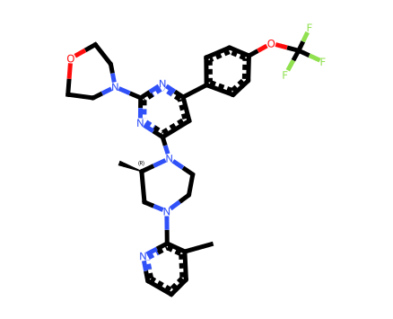 Cc1cccnc1N1CCN(c2cc(-c3ccc(OC(F)(F)F)cc3)nc(N3CCOCC3)n2)[C@H](C)C1